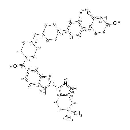 CC1(C)CCc2c(-c3cc4cc(C(=O)N5CCN(CC6CCN(c7ccc(N8CCC(=O)NC8=O)c(F)c7)CC6)CC5)ccc4[nH]3)n[nH]c2C1